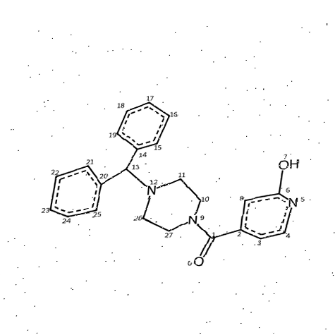 O=C(c1ccnc(O)c1)N1CCN(C(c2ccccc2)c2ccccc2)CC1